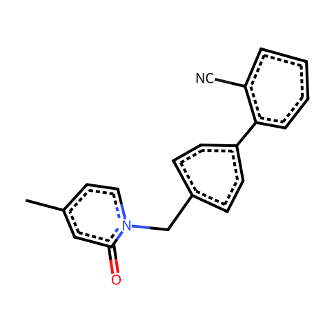 Cc1ccn(Cc2ccc(-c3ccccc3C#N)cc2)c(=O)c1